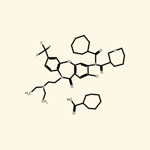 CCN(CC)CCN1C(=O)c2cc(Cl)c(N(C(=O)C3CCCCCC3)C(=O)C3CCCCCC3)cc2Oc2cc(C(F)(F)F)ccc21.O=C(O)C1CCCCCC1